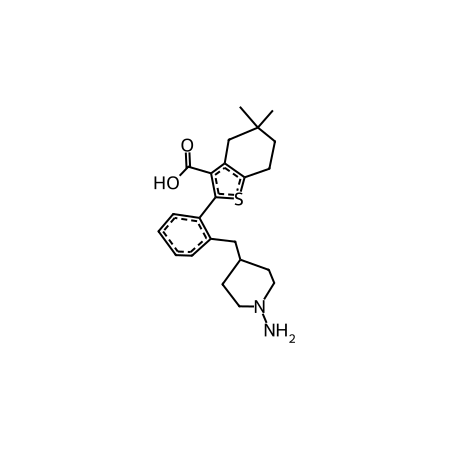 CC1(C)CCc2sc(-c3ccccc3CC3CCN(N)CC3)c(C(=O)O)c2C1